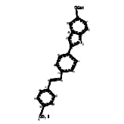 COc1ccc2oc(-c3ccc(C=Cc4ccc(C(=O)O)cc4)cc3)cc2c1